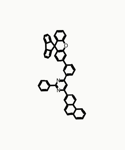 C1=CC2=CC=C3C=C(c4cc(-c5cccc(-c6ccc7c(c6)Oc6ccccc6C76c7ccccc7-c7ccccc76)c5)nc(-c5ccccc5)n4)C=CC3C2C=C1